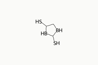 SC1BCC(S)B1